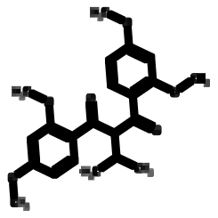 [CH2]C(C)C(C(=O)c1ccc(OC)cc1OC)C(=O)c1ccc(OC)cc1OC